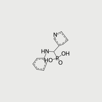 O=P(O)(O)C(Nc1ccccc1)c1cccnc1